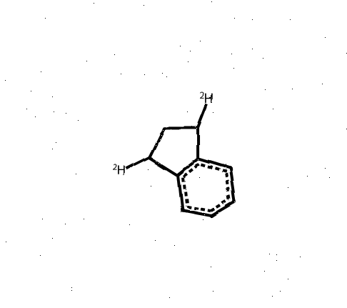 [2H]C1CC([2H])c2ccccc21